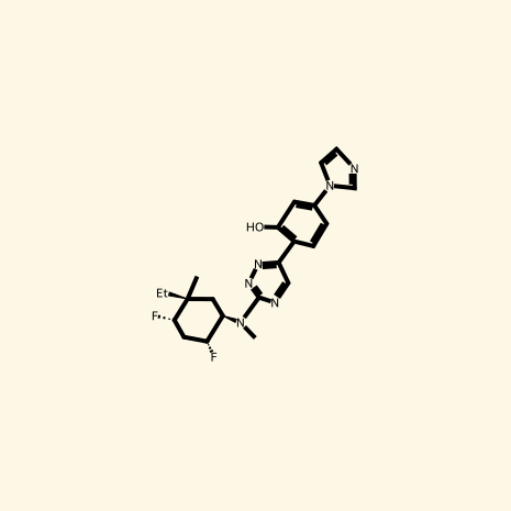 CC[C@@]1(C)C[C@@H](N(C)c2ncc(-c3ccc(-n4ccnc4)cc3O)nn2)[C@H](F)C[C@@H]1F